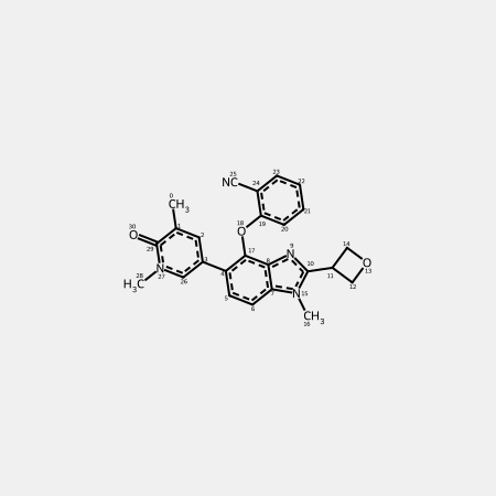 Cc1cc(-c2ccc3c(nc(C4COC4)n3C)c2Oc2ccccc2C#N)cn(C)c1=O